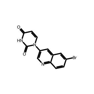 O=c1ccn(-c2cnc3ccc(Br)cc3c2)c(=O)[nH]1